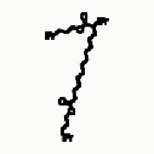 CC(C)CCCOC(=O)CCCCCCCCCCCC(C(=O)OCCCC(C)C)C(C)C